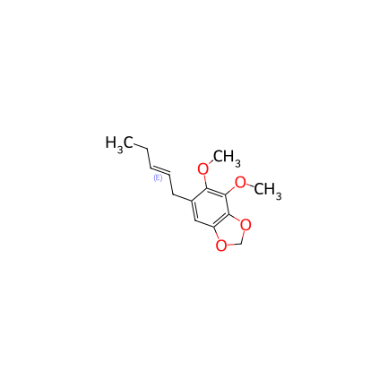 CC/C=C/Cc1cc2c(c(OC)c1OC)OCO2